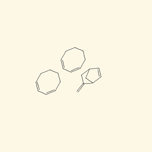 C1=CCCCCC=C1.C1=CCCCCC=C1.C=C1CC2C=CC1C2